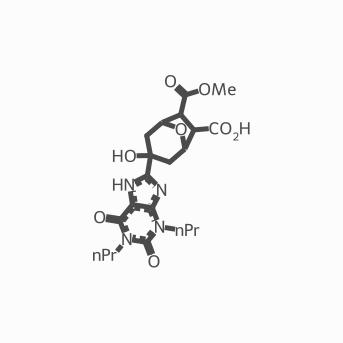 CCCn1c(=O)c2[nH]c(C3(O)CC4OC(C3)C(C(=O)OC)C4C(=O)O)nc2n(CCC)c1=O